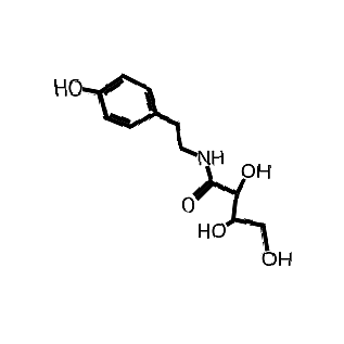 O=C(NCCc1ccc(O)cc1)C(O)C(O)CO